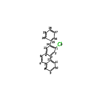 Clc1cc2c(ccc3ccccc32)cc1-c1ccccc1